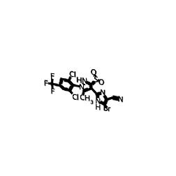 Cc1c(-c2nc(C#N)c(Br)[nH]2)c(=S(=O)=O)[nH]n1-c1c(Cl)cc(C(F)(F)F)cc1Cl